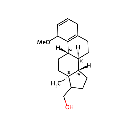 COC1C=CCC2=C1[C@H]1CC[C@]3(C)C(CO)CC[C@H]3[C@@H]1CC2